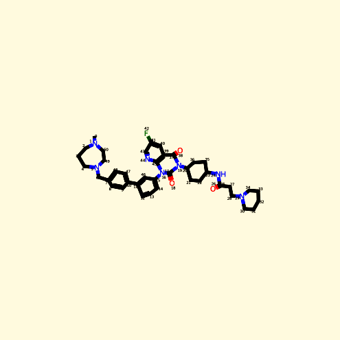 CN1CCCN(Cc2ccc(-c3cccc(-n4c(=O)n(C5CCC(NC(=O)CCN6CCCCC6)CC5)c(=O)c5cc(F)cnc54)c3)cc2)CC1